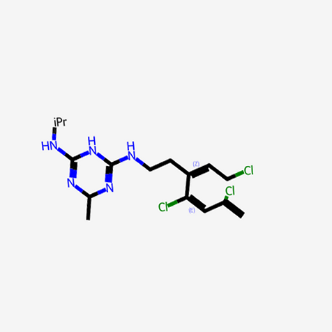 C=C(Cl)/C=C(Cl)\C(=C/CCl)CCNC1=NC(C)N=C(NC(C)C)N1